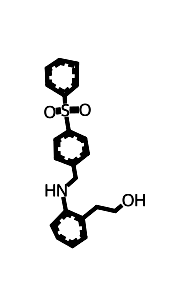 O=S(=O)(c1ccccc1)c1ccc(CNc2ccccc2CCO)cc1